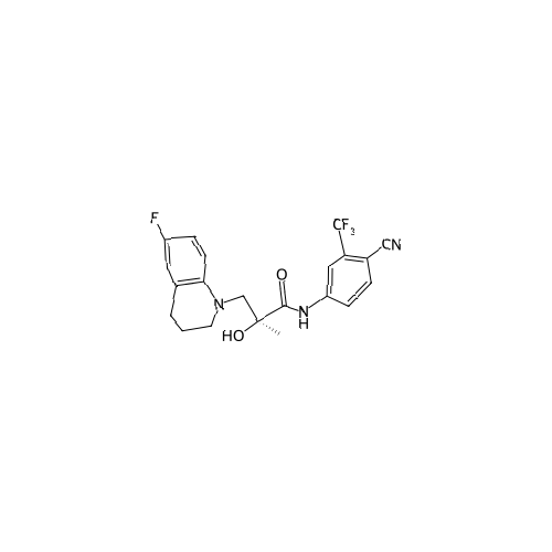 C[C@](O)(CN1CCCc2cc(F)ccc21)C(=O)Nc1ccc(C#N)c(C(F)(F)F)c1